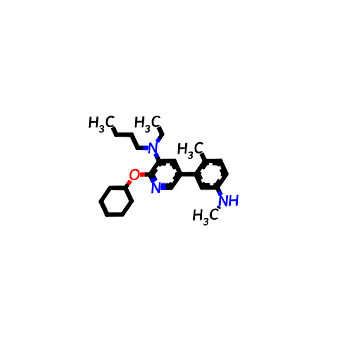 CCCCN(CC)c1cc(-c2cc(NC)ccc2C)cnc1OC1CCCCC1